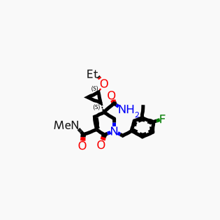 CCO[C@H]1C[C@H]1C1(C(N)=O)C=C(C(=O)NC)C(=O)N(Cc2ccc(F)c(C)c2)C1